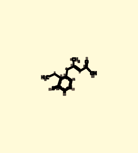 CCc1c(CC(C)=CC(=O)O)cnsc1=S